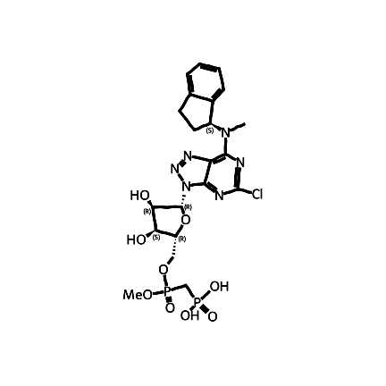 COP(=O)(CP(=O)(O)O)OC[C@H]1O[C@@H](n2nnc3c(N(C)[C@H]4CCc5ccccc54)nc(Cl)nc32)[C@H](O)[C@@H]1O